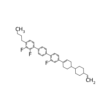 C=CC1CCC(C2CC=C(c3ccc(-c4ccc(-c5ccc(CCCC)c(F)c5F)cc4)c(F)c3)CC2)CC1